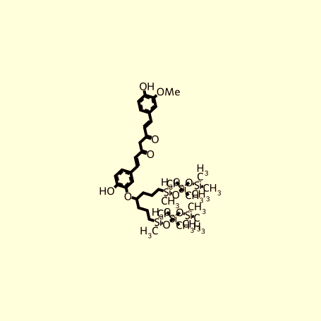 COc1cc(C=CC(=O)CC(=O)C=Cc2ccc(O)c(OC(CCC[Si](C)(C)O[Si](C)(C)O[Si](C)(C)C)CCC[Si](C)(C)O[Si](C)(C)O[Si](C)(C)C)c2)ccc1O